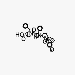 COc1ccc(S(=O)(=O)N2CCCC(n3cnc(C(=O)N4CCN(C(=O)O)C[C@H]4Cc4ccccc4)c3-c3ccccc3)C2)c(OC)c1